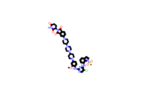 COc1cc(N2CCC(N3CCN(C4CCN(c5ccc6c(c5)C(=O)N(C5CCC(=O)NC5=O)C6=O)CC4)CC3)CC2)ccc1Nc1ncc(Cl)c(Nc2cccc3ccn(S(C)(=O)=O)c23)n1